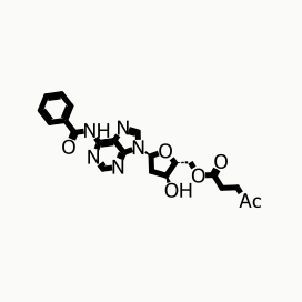 CC(=O)CCC(=O)OC[C@H]1O[C@@H](n2cnc3c(NC(=O)c4ccccc4)ncnc32)C[C@@H]1O